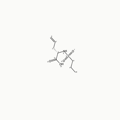 C=CC[C@H](NS(=O)(=O)CCC)C(=O)O